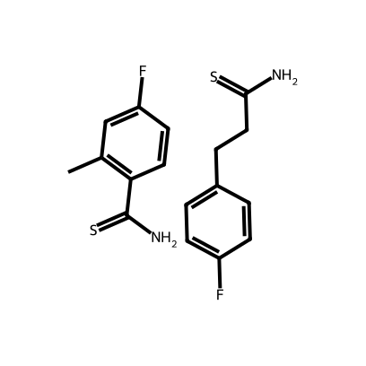 Cc1cc(F)ccc1C(N)=S.NC(=S)CCc1ccc(F)cc1